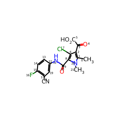 Cc1c(C(=O)C(=O)O)c(Cl)c(C(=O)Nc2ccc(F)c(C#N)c2)n1C